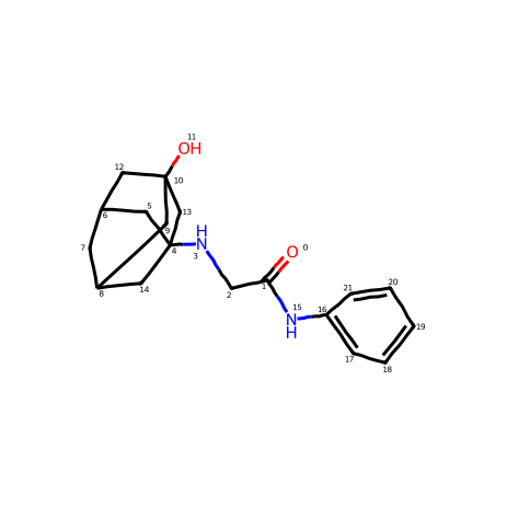 O=C(CNC12CC3CC(CC(O)(C3)C1)C2)Nc1ccccc1